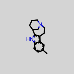 Cc1ccc2[nH]c3c(c2c1)CCN1CCCC3C1